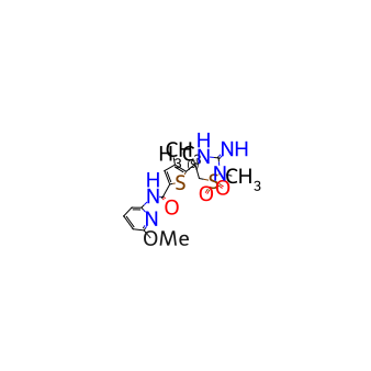 COc1cccc(NC(=O)c2cc(C)c([C@]3(C)CS(=O)(=O)N(C)C(=N)N3)s2)n1